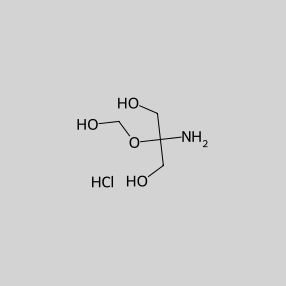 Cl.NC(CO)(CO)OCO